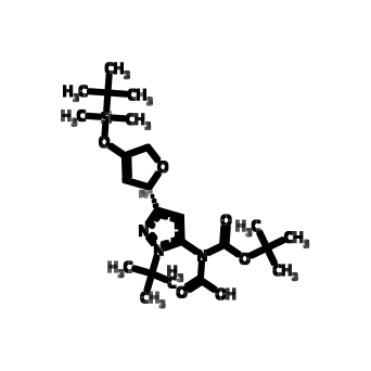 CC(C)(C)OC(=O)N(C(=O)O)c1cc([C@@H]2C=C(O[Si](C)(C)C(C)(C)C)CO2)nn1C(C)(C)C